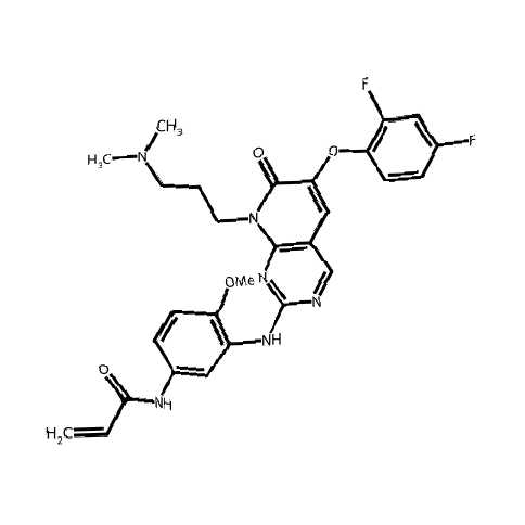 C=CC(=O)Nc1ccc(OC)c(Nc2ncc3cc(Oc4ccc(F)cc4F)c(=O)n(CCCN(C)C)c3n2)c1